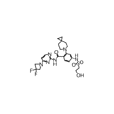 O=C(Nc1nccc(N2CC(F)(F)C2)n1)c1ccc(NS(=O)(=O)CCO)cc1N1CCC2(CC1)CC2